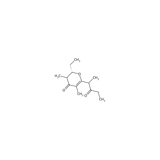 CCC(=O)C(C)C1=C(C)C(=O)C(C)[C@H](CC)O1